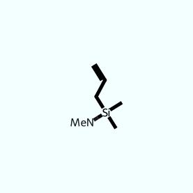 C=CC[Si](C)(C)NC